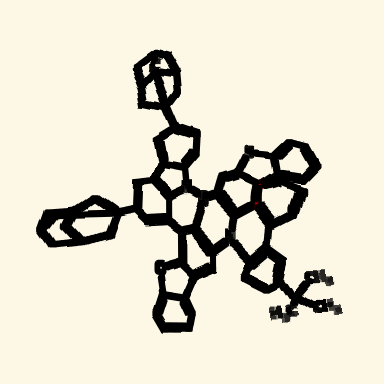 CC(C)(C)c1ccc(N2c3cc4c(cc3B3c5c2cc2c(oc6ccccc62)c5-c2cc(C56CC7CC(CC(C7)C5)C6)cc5c6cc(C78CC9CC(CC(C9)C7)C8)ccc6n3c25)sc2ccccc24)c(-c2ccccc2)c1